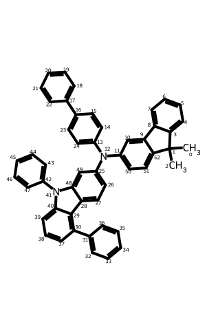 CC1(C)c2ccccc2-c2cc(N(c3ccc(-c4ccccc4)cc3)c3ccc4c5c(-c6ccccc6)cccc5n(-c5ccccc5)c4c3)ccc21